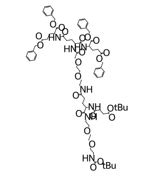 CC(C)(C)OC(=O)CCC(=O)NC(CCC(=O)NCCOCCOCC(=O)NC(CCC(=O)NC(CCC(=O)OCc1ccccc1)C(=O)OCc1ccccc1)C(=O)NC(CCC(=O)OCc1ccccc1)C(=O)OCc1ccccc1)C(=O)NCCOCCOCCNC(=O)OC(C)(C)C